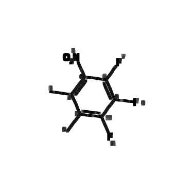 Cc1c(C)c([N+](=O)[O-])c(F)c(F)c1F